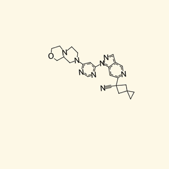 N#CC1(c2cc3c(cn2)cnn3-c2cc(N3CCN4CCOCC4C3)ncn2)CC2(CC2)C1